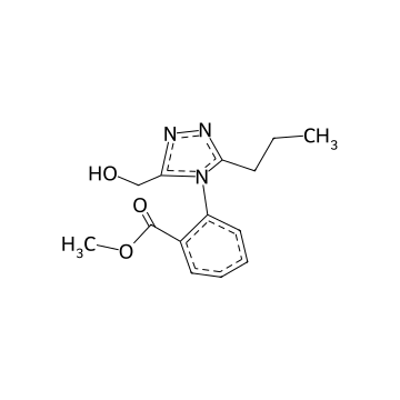 CCCc1nnc(CO)n1-c1ccccc1C(=O)OC